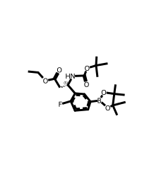 CCOC(=O)C[C@H](NC(=O)OC(C)(C)C)c1cc(B2OC(C)(C)C(C)(C)O2)ccc1F